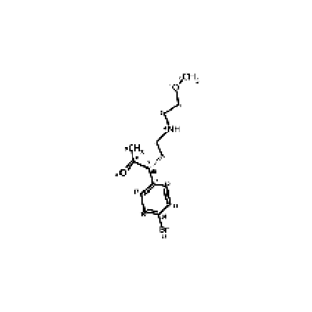 COCCNCC[C@@H](C(C)=O)c1ccc(Br)cc1